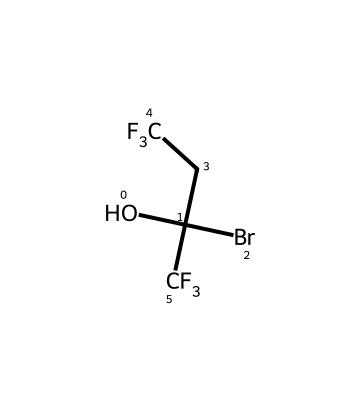 OC(Br)(CC(F)(F)F)C(F)(F)F